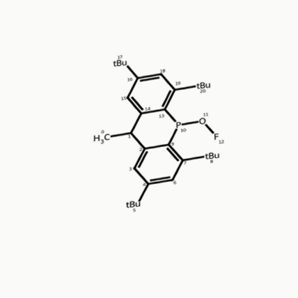 CC1c2cc(C(C)(C)C)cc(C(C)(C)C)c2P(OF)c2c1cc(C(C)(C)C)cc2C(C)(C)C